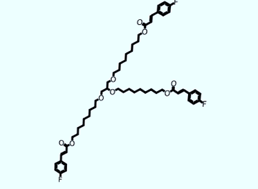 O=C(C=Cc1ccc(F)cc1)OCCCCCCCCCOCC(COCCCCCCCCCOC(=O)C=Cc1ccc(F)cc1)OCCCCCCCCCOC(=O)C=Cc1ccc(F)cc1